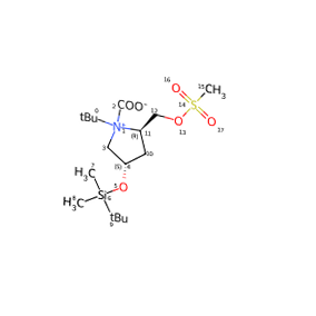 CC(C)(C)[N+]1(C(=O)[O-])C[C@@H](O[Si](C)(C)C(C)(C)C)C[C@@H]1COS(C)(=O)=O